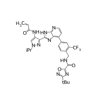 C=CC(=O)Nc1cn(C(C)C)nc1-c1nc2c(-c3ccc(CNC(=O)c4nc(C(C)(C)C)no4)c(C(F)(F)F)c3)ccnc2[nH]1